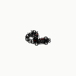 COCCOCC(C)OCC(C)OCC(C)OCC(C)OCC(C)OCC(C)OCC(C)OCC(C)OCC(C)N1C(=O)c2ccc3c4ccc5c6c(ccc(c7ccc(c2c37)C1=O)c64)C(=O)N(c1ccccc1)C5=O